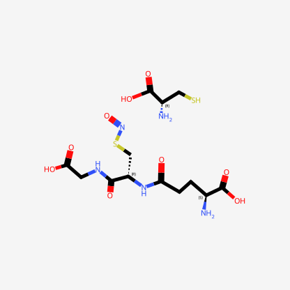 N[C@@H](CCC(=O)N[C@@H](CSN=O)C(=O)NCC(=O)O)C(=O)O.N[C@@H](CS)C(=O)O